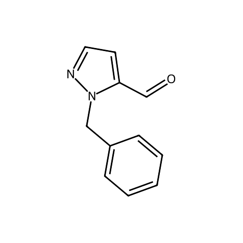 O=Cc1ccnn1Cc1ccccc1